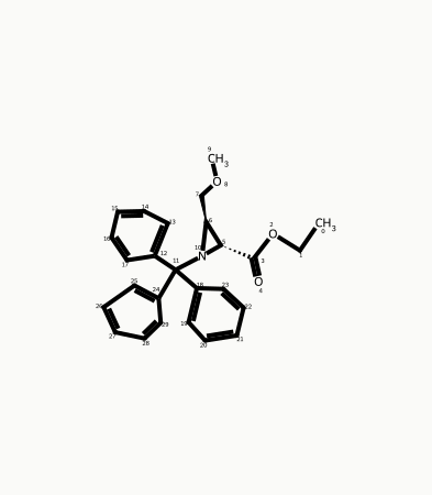 CCOC(=O)[C@H]1[C@H](COC)N1C(c1ccccc1)(c1ccccc1)c1ccccc1